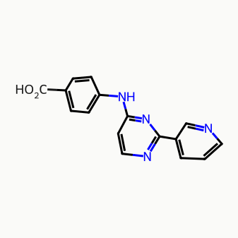 O=C(O)c1ccc(Nc2ccnc(-c3cccnc3)n2)cc1